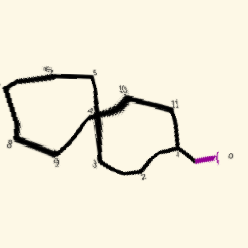 IC1CCC2(CCCCC2)CC1